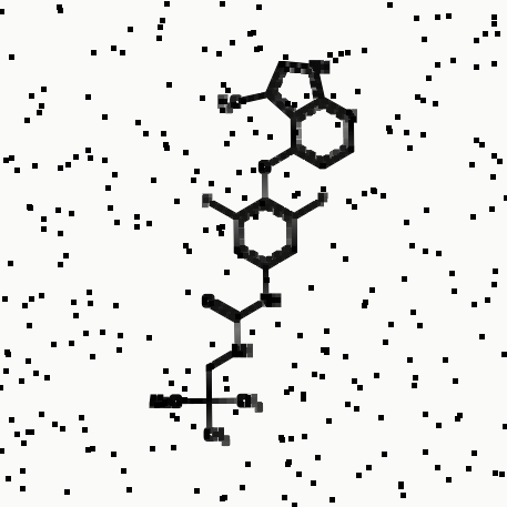 COC(C)(C)CNC(=O)Nc1cc(F)c(Oc2ccnc3[nH]cc(C(F)(F)F)c23)c(F)c1